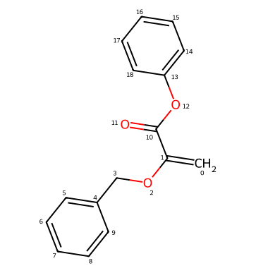 C=C(OCc1ccccc1)C(=O)Oc1ccccc1